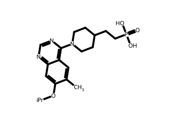 Cc1cc2c(N3CCC(CCP(=O)(O)O)CC3)ncnc2cc1OC(C)C